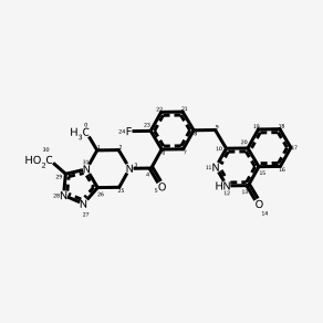 CC1CN(C(=O)c2cc(Cc3n[nH]c(=O)c4ccccc34)ccc2F)Cc2nnc(C(=O)O)n21